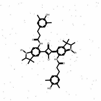 Cc1cc(CCC(=O)Nc2cc3c(cc2C2=C([O-])/C(=c4/cc5c(cc4NC(=O)CCc4cc(C)c(O)c(C)c4)=[N+](C(C)C)C(C)C5(C)C)C2=O)C(C)(C)C(C)N3C(C)C)cc(C)c1O